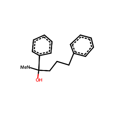 CNC(O)(CCCc1ccccc1)c1ccccc1